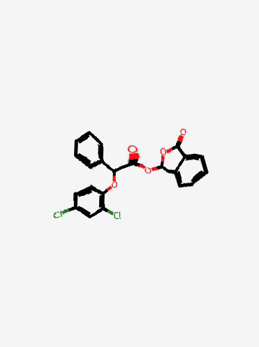 O=C1OC(OC(=O)C(Oc2ccc(Cl)cc2Cl)c2ccccc2)c2ccccc21